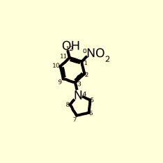 O=[N+]([O-])c1cc(N2CCCC2)ccc1O